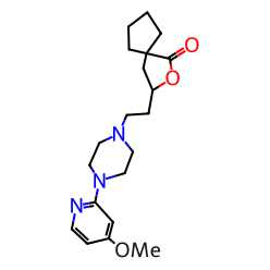 COc1ccnc(N2CCN(CCC3CC4(CCCC4)C(=O)O3)CC2)c1